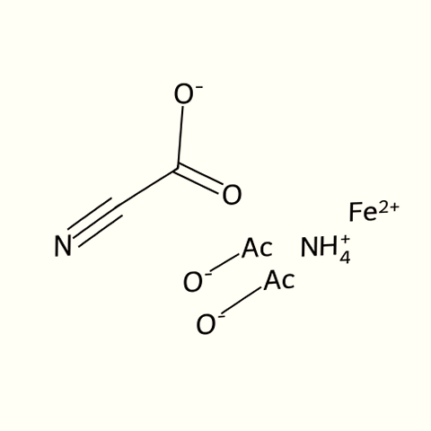 CC(=O)[O-].CC(=O)[O-].N#CC(=O)[O-].[Fe+2].[NH4+]